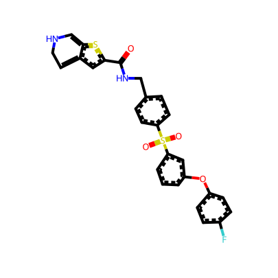 O=C(NCc1ccc(S(=O)(=O)c2cccc(Oc3ccc(F)cc3)c2)cc1)c1cc2c(s1)=CNCC=2